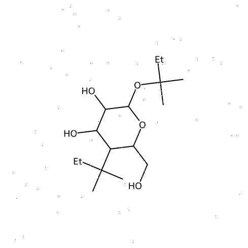 CCC(C)(C)OC1OC(CO)C(C(C)(C)CC)C(O)C1O